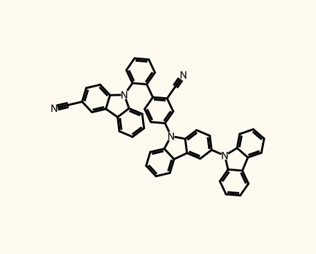 N#Cc1ccc2c(c1)c1ccccc1n2-c1ccccc1-c1ccc(-n2c3ccccc3c3cc(-n4c5ccccc5c5ccccc54)ccc32)cc1C#N